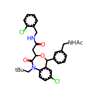 CC(=O)NCc1cccc(C2OC(CC(=O)NCc3ccccc3Cl)C(=O)N(CC(C)(C)C)c3ccc(Cl)cc32)c1